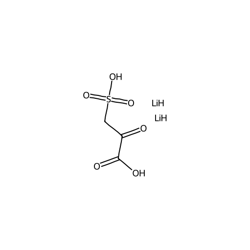 O=C(O)C(=O)CS(=O)(=O)O.[LiH].[LiH]